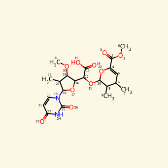 COC(=O)C1=CC(C)C(C)C(OC(C(=O)O)C2OC(n3ccc(=O)[nH]c3=O)C(C)C2OC)O1